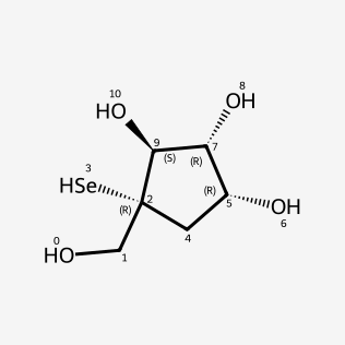 OC[C@]1([SeH])C[C@@H](O)[C@@H](O)[C@@H]1O